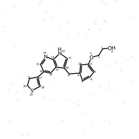 OCCOc1cccc(Cc2c[nH]c3ncc(C4=CSCC4)cc23)c1